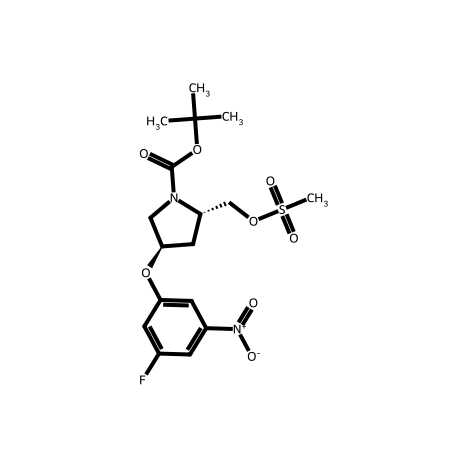 CC(C)(C)OC(=O)N1C[C@H](Oc2cc(F)cc([N+](=O)[O-])c2)C[C@H]1COS(C)(=O)=O